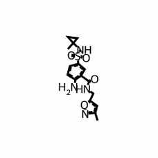 Cc1cc(CNC(=O)c2cc(S(=O)(=O)NC3(C)CC3)ccc2N)on1